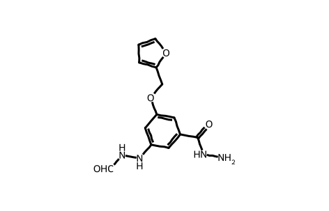 NNC(=O)c1cc(NNC=O)cc(OCc2ccco2)c1